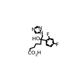 O=C(O)CCCCC(O)(Cn1cncn1)c1ccc(F)cc1F